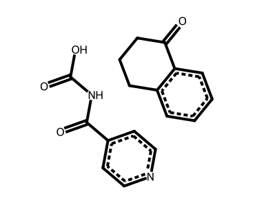 O=C(O)NC(=O)c1ccncc1.O=C1CCCc2ccccc21